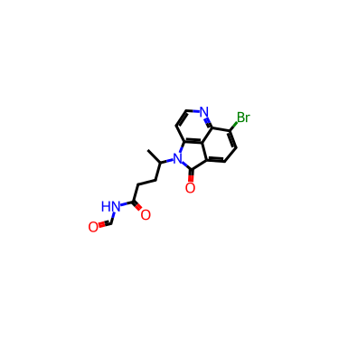 CC(CCC(=O)NC=O)N1C(=O)c2ccc(Br)c3nccc1c23